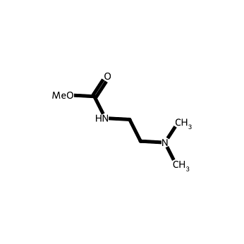 COC(=O)NCCN(C)C